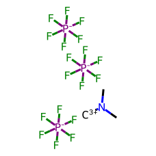 F[P-](F)(F)(F)(F)F.F[P-](F)(F)(F)(F)F.F[P-](F)(F)(F)(F)F.[C+3]N(C)C